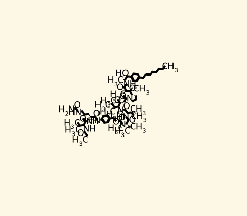 CCCCC/C=C/Cc1ccc([C@H](O)[C@@H](C)NC(=O)[C@H](C)[C@@H](OC)[C@@H]2CCCN2C(=O)C[C@@H](OC)[C@H]([C@@H](C)CC)N(C)C(=O)[C@@H](NC(=O)[C@H](C(C)C)N(C)C(=O)OCc2ccc(NC(=O)[C@H](CCCNC(N)=O)NC(=O)[C@@H](NC(=O)CC)C(C)C)cc2)C(C)C)cc1